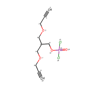 C#CCOCC(COCC#C)COP(=O)(Cl)Cl